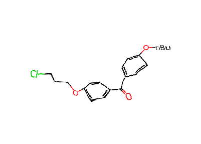 CCCCOc1ccc(C(=O)c2ccc(OCCCCl)cc2)cc1